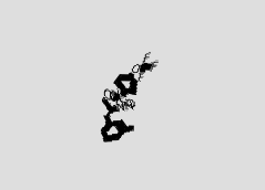 Cc1cccc(C[C@@H](CO)NS(=O)(=O)c2ccc(OC(F)(F)F)cc2)c1